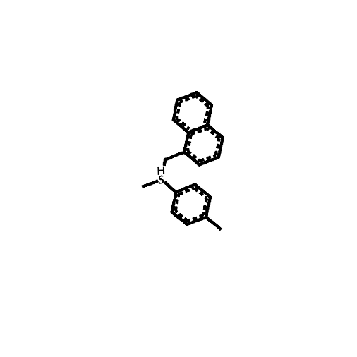 Cc1ccc([SH](C)Cc2cccc3ccccc23)cc1